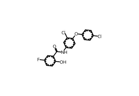 O=C(Nc1ccc(Oc2ccc(Cl)cc2)c(Cl)c1)c1cc(F)ccc1O